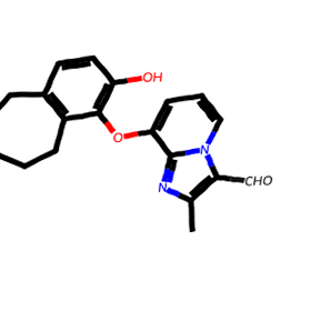 Cc1nc2c(Oc3c(O)ccc4c3CCCCC4)cccn2c1C=O